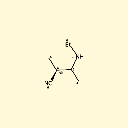 CCNC(C)[C@H](C)C#N